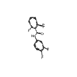 O=C(Nc1ccc(F)c(F)c1)c1c(F)cccc1F